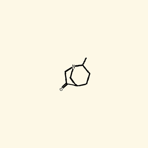 CC1CCC2CN1CC2=O